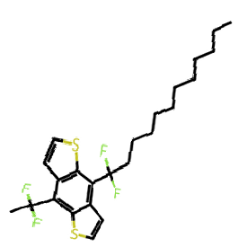 CCCCCCCCCCCC(F)(F)c1c2ccsc2c(C(C)(F)F)c2ccsc12